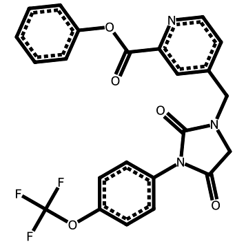 O=C(Oc1ccccc1)c1cc(CN2CC(=O)N(c3ccc(OC(F)(F)F)cc3)C2=O)ccn1